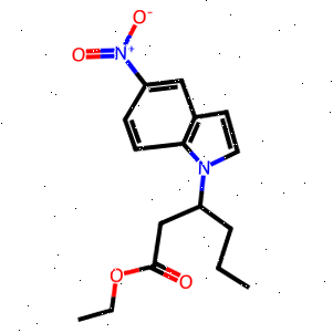 CCCC(CC(=O)OCC)n1ccc2cc([N+](=O)[O-])ccc21